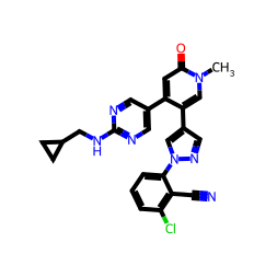 Cn1cc(-c2cnn(-c3cccc(Cl)c3C#N)c2)c(-c2cnc(NCC3CC3)nc2)cc1=O